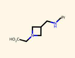 CC(C)NCC1CN(CC(=O)O)C1